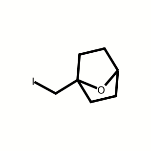 ICC12CCC(CC1)O2